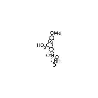 COc1ccc2c(c1)cc(C(=O)O)n2Cc1ccc2c(c1)CN(C1CCC(=O)NC1=O)C2=O